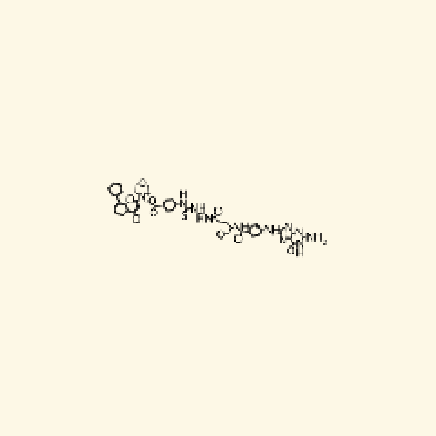 Nc1nc2ncc(CNc3ccc(C(=O)NC(C=O)CCC(=O)NCCNC(=S)Nc4ccc(C(=O)OC[N+]5(c6cc(=O)c7cccc(-c8ccccc8)c7o6)CCOCC5)cc4)cc3)nc2c(=O)[nH]1